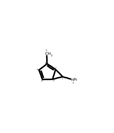 CCCC1[C]2C=CC(C)=C21